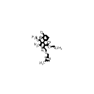 CCOC(=O)C1=C(COCc2nnc(C)s2)NC(C)=C(C(=O)OC)C1c1cccc(Cl)c1Cl